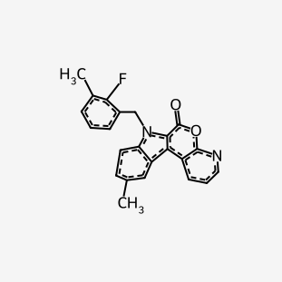 Cc1ccc2c(c1)c1c3cccnc3oc(=O)c1n2Cc1cccc(C)c1F